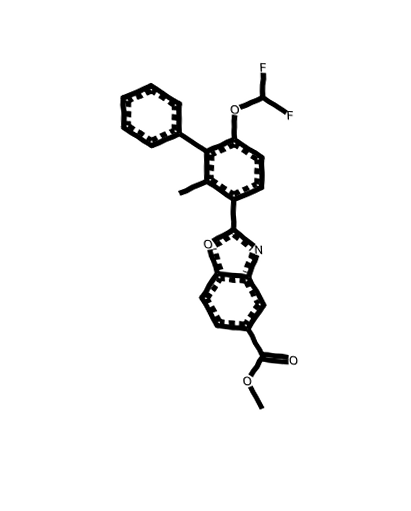 COC(=O)c1ccc2oc(-c3ccc(OC(F)F)c(-c4ccccc4)c3C)nc2c1